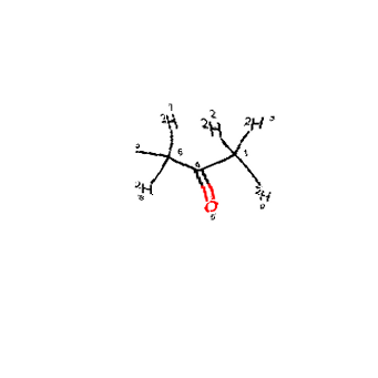 [2H]C([2H])([2H])C(=O)C([2H])([2H])C